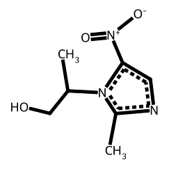 Cc1ncc([N+](=O)[O-])n1C(C)CO